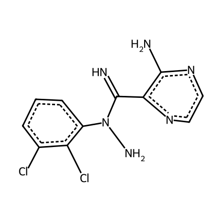 N=C(c1nccnc1N)N(N)c1cccc(Cl)c1Cl